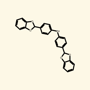 c1ccc2c(c1)OC(c1ccc(Pc3ccc(C4Oc5ccccc5O4)cc3)cc1)O2